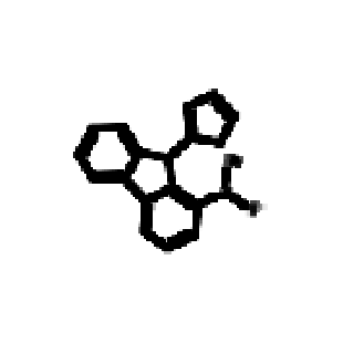 C[CH](C)[Zr]([c]1cccc2c1C(C1=CC=CC1)c1ccccc1-2)[CH](C)C